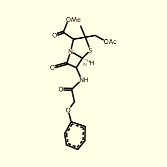 COC(=O)C1N2C(=O)C(NC(=O)COc3ccccc3)[C@@H]2SC1(C)COC(C)=O